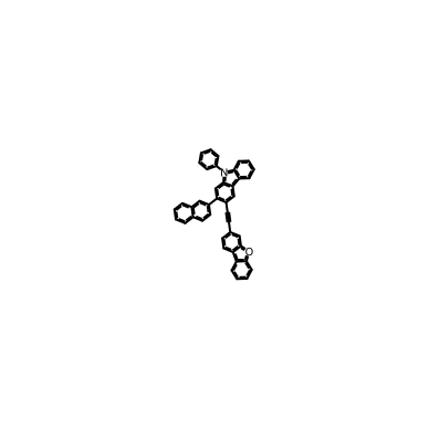 C(#Cc1cc2c3ccccc3n(-c3ccccc3)c2cc1-c1ccc2ccccc2c1)c1ccc2c(c1)oc1ccccc12